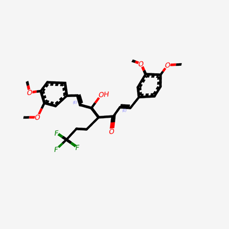 COc1ccc(/C=C/C(=O)C(CCC(F)(F)F)C(O)/C=C/c2ccc(OC)c(OC)c2)cc1OC